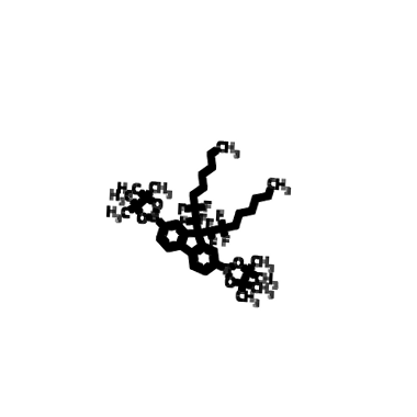 CCCCCCC(F)(F)C(F)(F)C1(C(F)(F)C(F)(F)CCCCCC)c2cc(B3OC(C)(C)C(C)(C)O3)ccc2-c2ccc(B3OC(C)(C)C(C)(C)O3)cc21